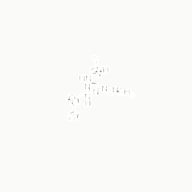 CN1CCN(c2cc(Nc3cc(C4CC4)[nH]n3)nc(NCc3cc(-c4ccoc4)no3)n2)CC1